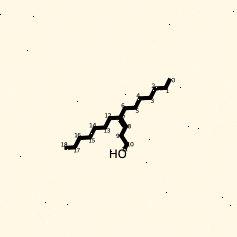 CCCCCCCC(=CCCO)CCCCCCC